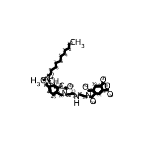 CCCCCCCCCCCC[N+](C)(C)Cc1ccc(CN(CCNCCn2c(=O)c3cc4c(=O)oc(=O)c4cc3c2=O)C(C)=O)cc1